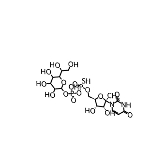 C[C@@]1(n2ccc(=O)[nH]c2=O)O[C@H](COP(=O)(S)OP(=O)(O)OC2OC([C@@H](O)CO)C(O)C(O)C2O)[C@@H](O)[C@H]1O